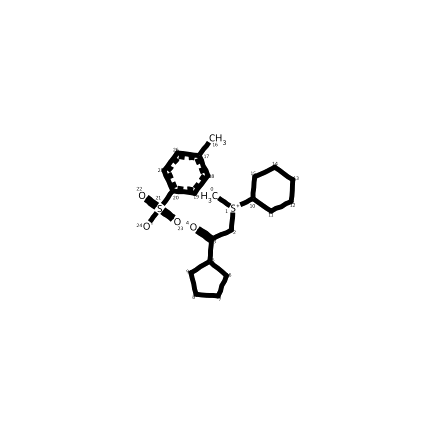 C[S+](CC(=O)C1CCCC1)C1CCCCC1.Cc1ccc(S(=O)(=O)[O-])cc1